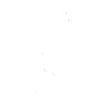 C=CCOc1cnc2cc(-c3ccc(C=CCCCC(C)O)cc3F)ccc2n1